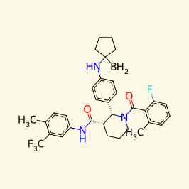 BC1(Nc2ccc([C@H]3[C@@H](C(=O)Nc4ccc(C)c(C(F)(F)F)c4)CCCN3C(=O)c3c(C)cccc3F)cc2)CCCC1